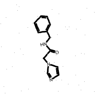 O=C(Cn1ccnc1)N[CH]c1ccccc1